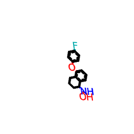 ONC1CCCc2c(Oc3ccc(F)cc3)cccc21